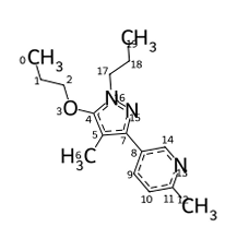 CCCOc1c(C)c(-c2ccc(C)nc2)nn1CCC